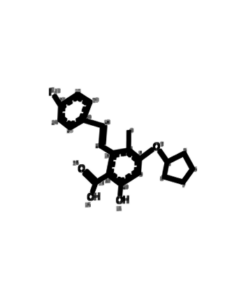 Cc1c(OC2CCCC2)cc(O)c(C(=O)O)c1C=Cc1ccc(F)cc1